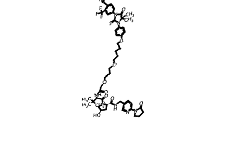 CC(C)(C)C(NC(=O)COCCCOCCCCCOc1ccc(N2C(=S)N(c3ccc(C#N)c(C(F)(F)F)c3)C(=O)C2(C)C)cc1)C(=O)N1C[C@H](O)C[C@H]1C(=O)NCc1ccc(N2CCCC2=O)nc1